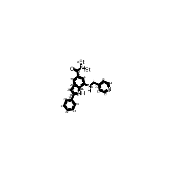 CCN(CC)C(=O)c1cc(NCc2ccncc2)c2[nH]c(-c3ccccc3)cc2c1